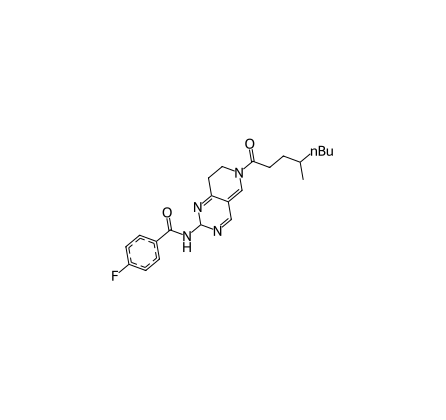 CCCCC(C)CCC(=O)N1C=C2C=NC(NC(=O)c3ccc(F)cc3)N=C2CC1